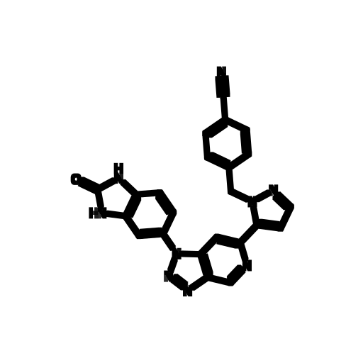 N#Cc1ccc(Cn2nccc2-c2cc3c(cn2)nnn3-c2ccc3[nH]c(=O)[nH]c3c2)cc1